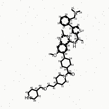 COc1cc2nc(C)nc(N[C@H](C)c3cc(-c4ccccc4CN(C)C)cs3)c2cc1C1CCC(C(=O)N2CCC(CCOCC3CCNCC3)CC2)CC1